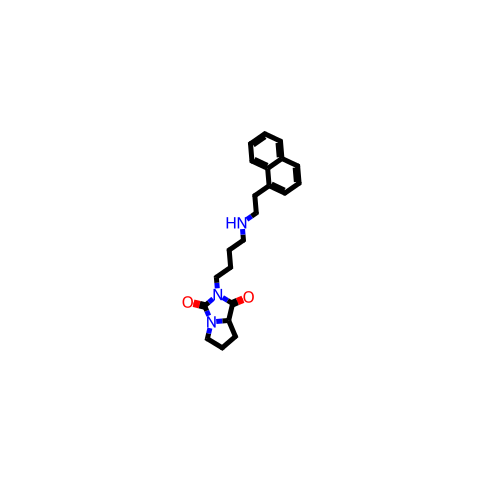 O=C1C2CCCN2C(=O)N1CCCCNCCc1cccc2ccccc12